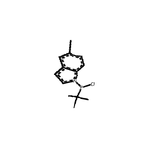 Cc1ccc2c(ccn2P(Cl)C(C)(C)C)c1